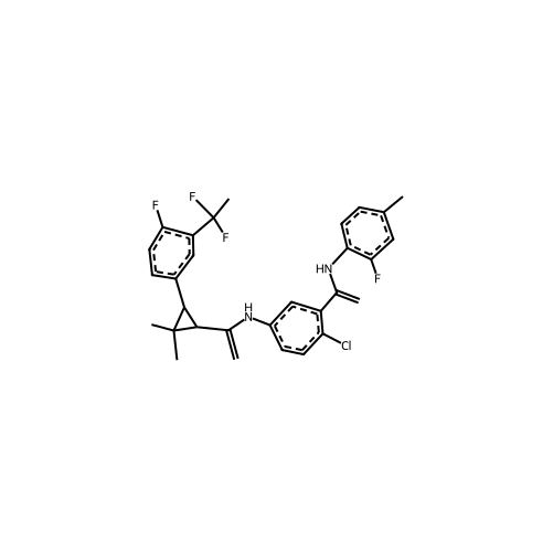 C=C(Nc1ccc(C)cc1F)c1cc(NC(=C)C2C(c3ccc(F)c(C(C)(F)F)c3)C2(C)C)ccc1Cl